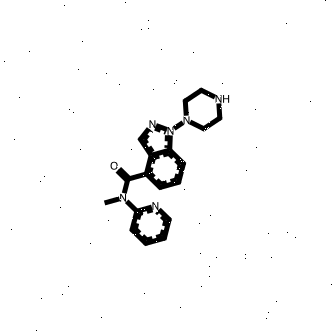 CN(C(=O)c1cccc2c1cnn2N1CCNCC1)c1ccccn1